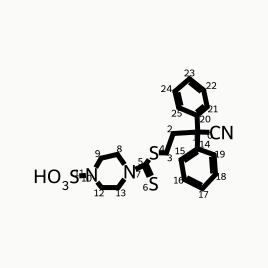 N#CC(CCSC(=S)N1CCN(S(=O)(=O)O)CC1)(c1ccccc1)c1ccccc1